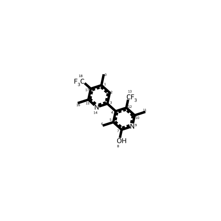 Cc1cc(-c2c(C)c(O)nc(C)c2C(F)(F)F)nc(C)c1C(F)(F)F